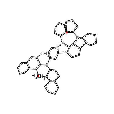 Cc1cc2ccccc2c(C)c1B(c1ccc2c(c1)c1ccc3c4ccccc4n(-c4ccccc4)c3c1n2-c1ccccc1)c1ccc2ccccc2c1C